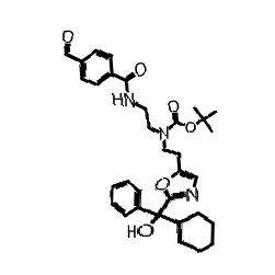 CC(C)(C)OC(=O)N(CCNC(=O)c1ccc(C=O)cc1)CCc1cnc(C(O)(c2ccccc2)C2CCCCC2)o1